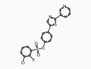 O=S(=O)(Oc1ccc(-c2cnc(-c3cccnc3)s2)cc1)c1cccc(Cl)c1F